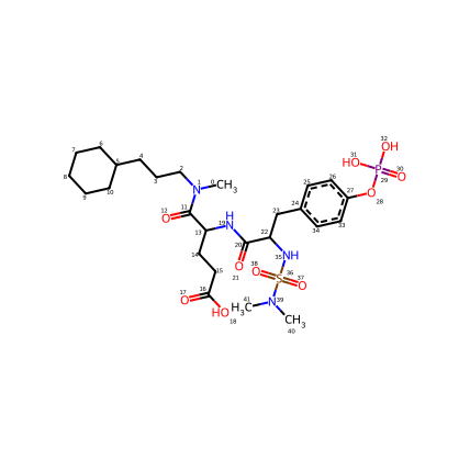 CN(CCCC1CCCCC1)C(=O)C(CCC(=O)O)NC(=O)C(Cc1ccc(OP(=O)(O)O)cc1)NS(=O)(=O)N(C)C